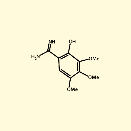 COc1cc(C(=N)N)c(O)c(OC)c1OC